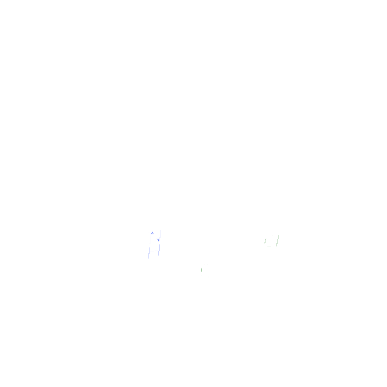 ClCCl.c1ccc2[nH]ccc2c1